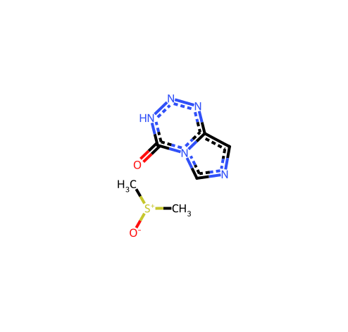 C[S+](C)[O-].O=c1[nH]nnc2cncn12